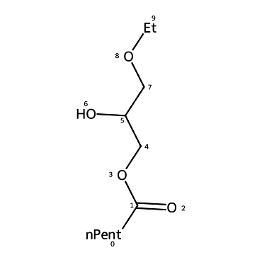 CCCCCC(=O)OCC(O)COCC